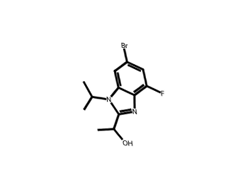 CC(O)c1nc2c(F)cc(Br)cc2n1C(C)C